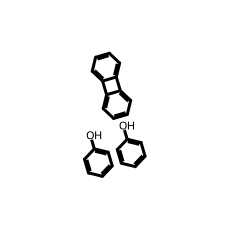 Oc1ccccc1.Oc1ccccc1.c1ccc2c(c1)-c1ccccc1-2